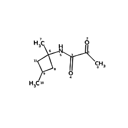 CC(=O)C(=O)NC1(C)CC(C)C1